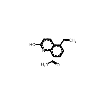 C=Cc1cccc2nc(O)ccc12.NC=O